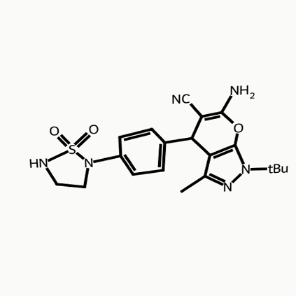 Cc1nn(C(C)(C)C)c2c1C(c1ccc(N3CCNS3(=O)=O)cc1)C(C#N)=C(N)O2